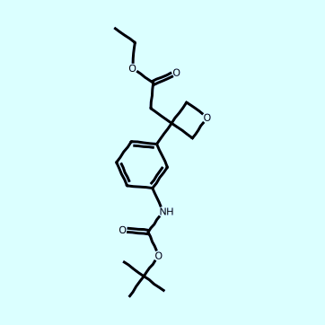 CCOC(=O)CC1(c2cccc(NC(=O)OC(C)(C)C)c2)COC1